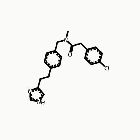 CN(Cc1ccc(CCc2c[nH]cn2)cc1)C(=O)Cc1ccc(Cl)cc1